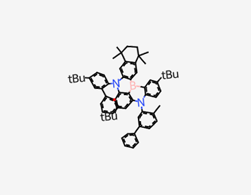 Cc1ccc(-c2ccccc2)cc1N1c2ccc(C(C)(C)C)cc2B2c3cc4c(cc3N(c3ccc(C(C)(C)C)cc3-c3ccccc3)c3cc(C(C)(C)C)cc1c32)C(C)(C)CCC4(C)C